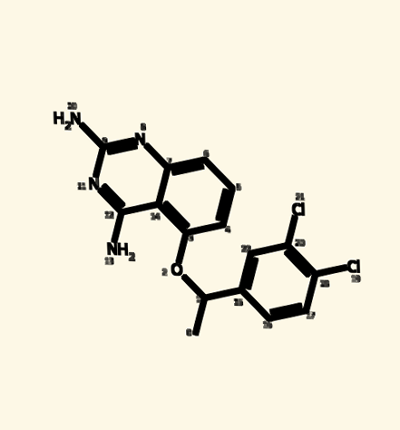 CC(Oc1cccc2nc(N)nc(N)c12)c1ccc(Cl)c(Cl)c1